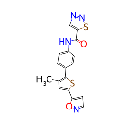 Cc1cc(-c2ccno2)sc1-c1ccc(NC(=O)c2cnns2)cc1